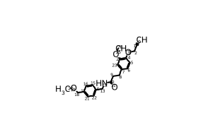 C#CCOc1ccc(CCC(=O)NCc2ccc(COC)cc2)cc1OC